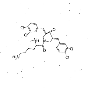 CN[C@H](CCCCN)C(=O)N1C/C(=C\c2ccc(Cl)c(Cl)c2)C(=O)/C(=C/c2ccc(Cl)c(Cl)c2)C1